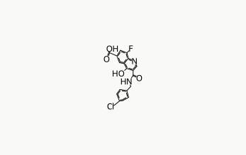 O=C(O)c1cc(F)c2ncc(C(=O)NCc3ccc(Cl)cc3)c(O)c2c1